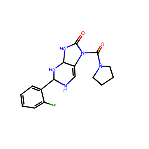 O=C1NC2NC(c3ccccc3F)NC=C2N1C(=O)N1CCCC1